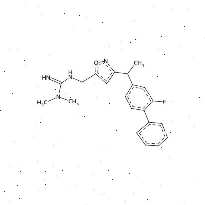 CC(c1ccc(-c2ccccc2)c(F)c1)c1cc(CNC(=N)N(C)C)on1